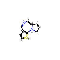 C1=CC2=CN=Cc3ccsc3N2C1